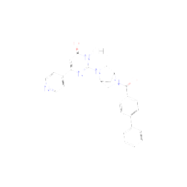 Cn1c(N2CC3CC2CN3C(=O)c2ccc(-c3ccccc3)cc2)nc(-c2ccncc2)cc1=O